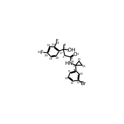 CC(O)(CC(=O)NC1(c2cccc(Br)c2)CC1)c1ccc(F)cc1F